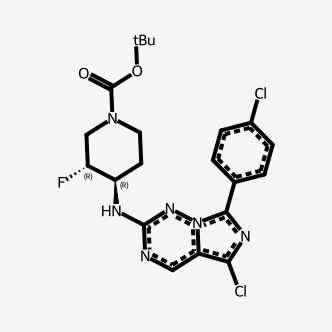 CC(C)(C)OC(=O)N1CC[C@@H](Nc2ncc3c(Cl)nc(-c4ccc(Cl)cc4)n3n2)[C@H](F)C1